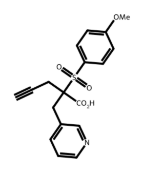 C#CCC(Cc1cccnc1)(C(=O)O)S(=O)(=O)c1ccc(OC)cc1